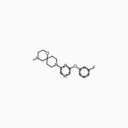 CN1CCOC2(CCN(c3cncc(Oc4cccc(F)c4)n3)CC2)C1